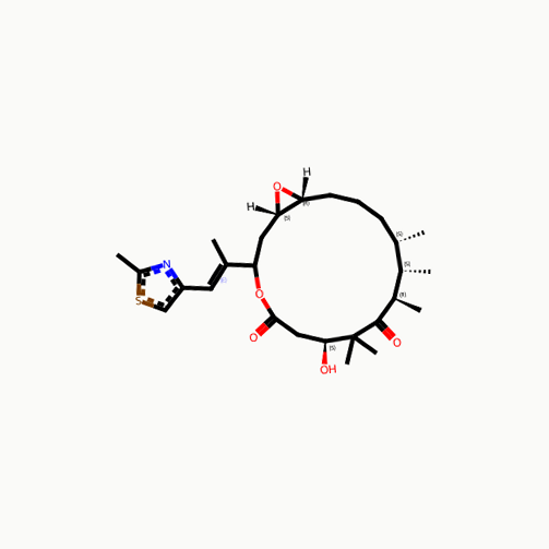 C/C(=C\c1csc(C)n1)C1C[C@@H]2O[C@@H]2CCC[C@H](C)[C@H](C)[C@@H](C)C(=O)C(C)(C)[C@@H](O)CC(=O)O1